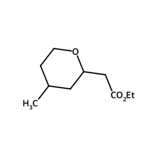 CCOC(=O)CC1CC(C)CCO1